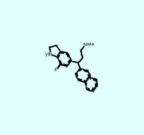 CNCCC(c1cc(F)c2c(c1)CCN2)c1ccc2ccccc2c1